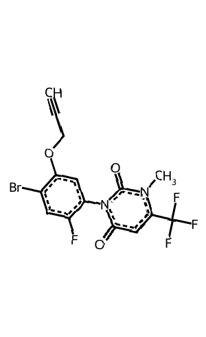 C#CCOc1cc(-n2c(=O)cc(C(F)(F)F)n(C)c2=O)c(F)cc1Br